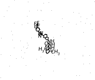 CCc1cccc(C)c1NC(=S)NC(=O)NC1Cc2ccc(-c3ncn(-c4ccc(OC(F)(F)F)cc4)n3)cc2C1